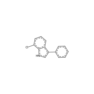 Clc1cccc2c(-c3ccccc3)c[nH]c12